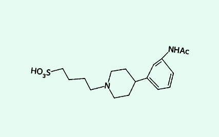 CC(=O)Nc1cccc(C2CCN(CCCCS(=O)(=O)O)CC2)c1